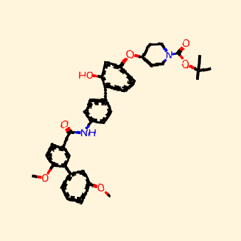 COc1cccc(-c2cc(C(=O)Nc3ccc(-c4ccc(OC5CCN(C(=O)OC(C)(C)C)CC5)cc4O)cc3)ccc2OC)c1